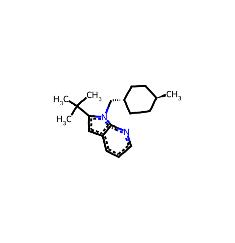 CC(C)(C)c1cc2cccnc2n1C[C@H]1CC[C@H](C)CC1